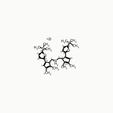 CC1=C(C)C(C[SiH2]CC2C(c3ccc([Si](C)(C)C)o3)=CC(C)=C2C)C(c2ccc([Si](C)(C)C)o2)=C1.[Zr]